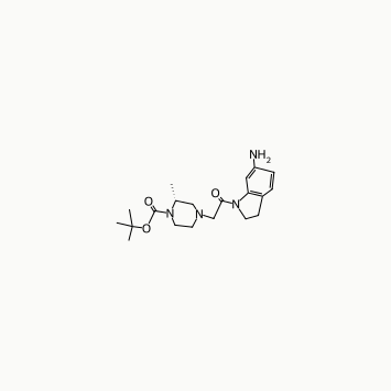 C[C@@H]1CN(CC(=O)N2CCc3ccc(N)cc32)CCN1C(=O)OC(C)(C)C